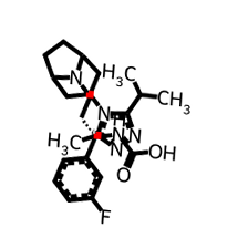 Cc1nnc(C(C)C)n1C1CC2CCC(C1)N2CC[C@H](NC(=O)O)c1cccc(F)c1